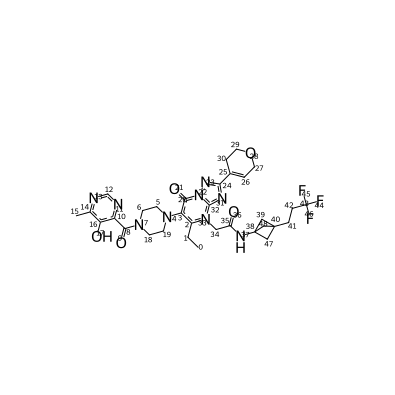 CCc1c(N2CCN(C(=O)c3ncnc(C)c3O)CC2)c(=O)n2nc(C3=CCOCC3)nc2n1CC(=O)NC12CC(CCC(F)(F)F)(C1)C2